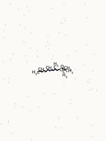 CC(C)=CCC/C(C)=C/CC/C(C)=C/COC(=O)C(C)(C)C